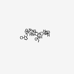 C=CC(=O)Nc1cc(Nc2cc(N3OCC[C@@H]3Cc3cccc(Cl)c3C)ncn2)c(OC)cc1N1CCC(N2C[C@H]3C[C@@H]2CO3)CC1